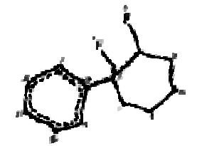 FC1CCCCC1(F)c1ccccc1